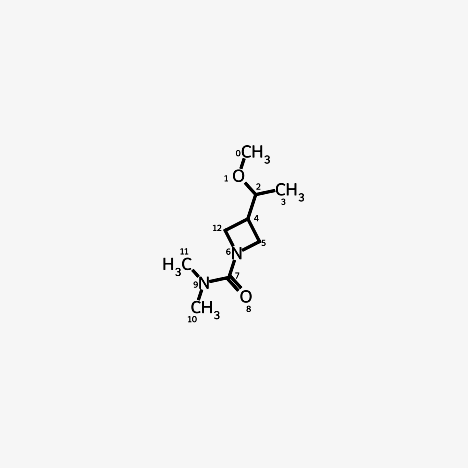 COC(C)C1CN(C(=O)N(C)C)C1